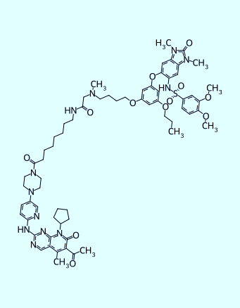 CCCOc1cc(OCCCCN(C)CC(=O)NCCCCCCCC(=O)N2CCN(c3ccc(Nc4ncc5c(C)c(C(C)=O)c(=O)n(C6CCCC6)c5n4)nc3)CC2)cc(Oc2cc3c(cc2NS(=O)(=O)c2ccc(OC)c(OC)c2)n(C)c(=O)n3C)c1